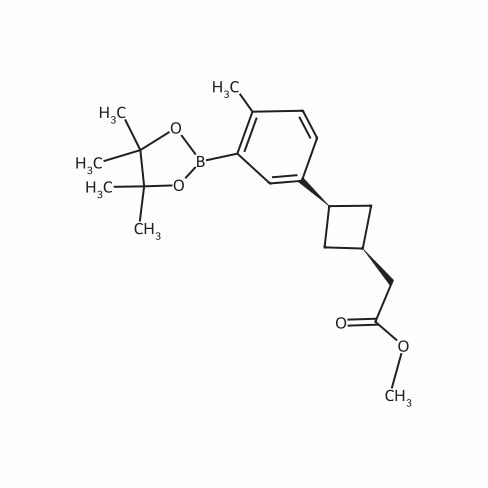 COC(=O)C[C@H]1C[C@@H](c2ccc(C)c(B3OC(C)(C)C(C)(C)O3)c2)C1